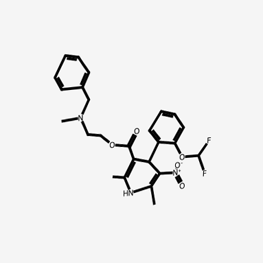 CC1=C(C(=O)OCCN(C)Cc2ccccc2)C(c2ccccc2OC(F)F)C([N+](=O)[O-])=C(C)N1